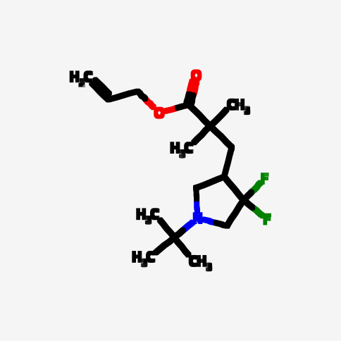 C=CCOC(=O)C(C)(C)CC1CN(C(C)(C)C)CC1(F)F